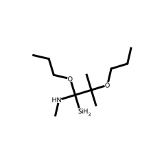 CCCOC(C)(C)C([SiH3])(NC)OCCC